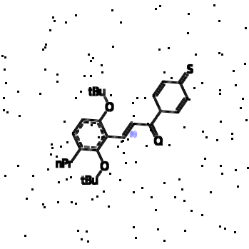 CCCc1ccc(OC(C)(C)C)c(/C=C/C(=O)C2C=CC(=S)C=C2)c1OC(C)(C)C